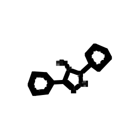 CCCCN1C(c2ccccc2)=NNN1c1ccccc1